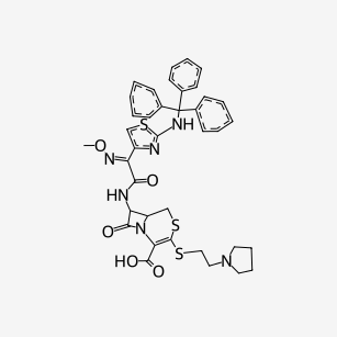 CON=C(C(=O)NC1C(=O)N2C(C(=O)O)=C(SCCN3CCCC3)SCC12)c1csc(NC(c2ccccc2)(c2ccccc2)c2ccccc2)n1